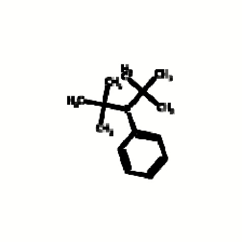 CC(C)(C)P(c1ccccc1)C(C)(C)C